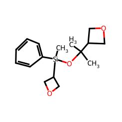 CC(C)(O[Si](C)(c1ccccc1)C1COC1)C1COC1